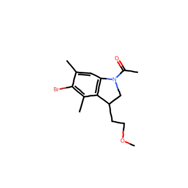 COCCC1CN(C(C)=O)c2cc(C)c(Br)c(C)c21